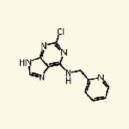 Clc1nc(NCc2ccccn2)c2nc[nH]c2n1